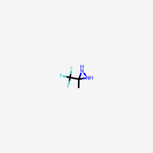 CC1(C(F)(F)F)NN1